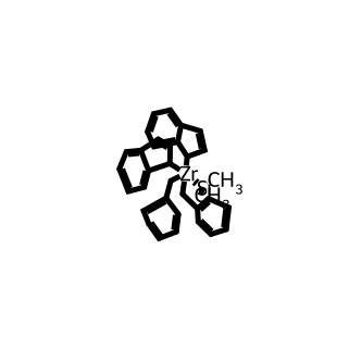 C[Si](C)=[Zr]([CH2]c1ccccc1)([CH2]c1ccccc1)([CH]1C=Cc2ccccc21)[CH]1C=Cc2ccccc21